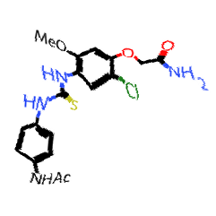 COc1cc(OCC(N)=O)c(Cl)cc1NC(=S)Nc1ccc(NC(C)=O)cc1